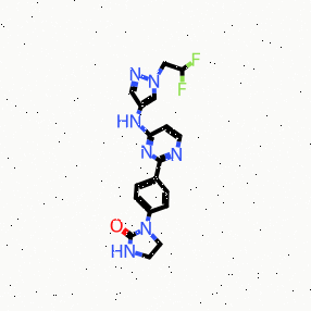 O=C1NCCN1c1ccc(-c2nccc(Nc3cnn(CC(F)F)c3)n2)cc1